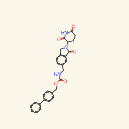 O=C1CCC(N2Cc3ccc(CNC(=O)OCc4ccc(-c5ccccc5)cc4)cc3C2=O)C(=O)N1